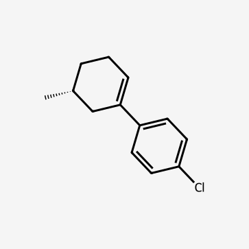 C[C@@H]1CCC=C(c2ccc(Cl)cc2)C1